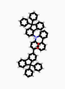 c1ccc(-c2ccccc2N(c2ccc(-c3ccc4c(c3)-c3ccccc3C4(c3ccccc3)c3ccccc3)cc2)c2cccc3c2-c2ccccc2C3(c2ccccc2)c2ccccc2)cc1